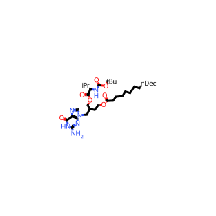 CCCCCCCCCCCCCCCCCC(=O)OCCC(COC(=O)[C@@H](NC(=O)OC(C)(C)C)C(C)C)Cn1cnc2c(=O)[nH]c(N)nc21